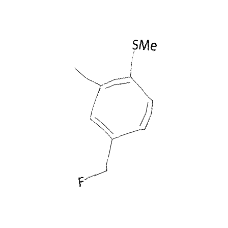 CSc1ccc(CF)cc1C